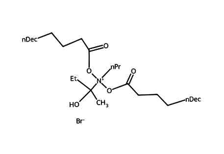 CCCCCCCCCCCCCC(=O)O[N+](CCC)(OC(=O)CCCCCCCCCCCCC)C(C)(O)CC.[Br-]